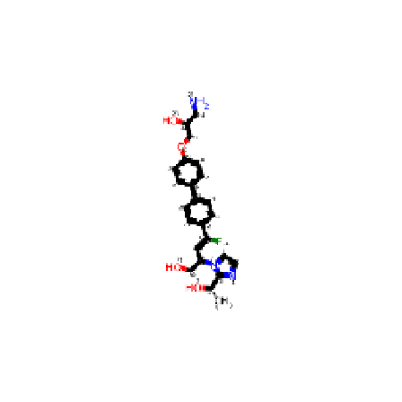 C[C@H](O)c1nccn1C(/C=C(\F)c1ccc(-c2ccc(OCC(O)CN)cc2)cc1)CO